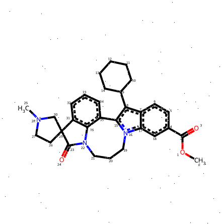 COC(=O)c1ccc2c(C3CCCCC3)c3n(c2c1)CCCN1C(=O)C2(CCN(C)C2)c2cccc-3c21